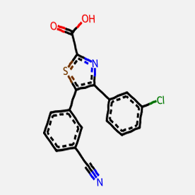 N#Cc1cccc(-c2sc(C(=O)O)nc2-c2cccc(Cl)c2)c1